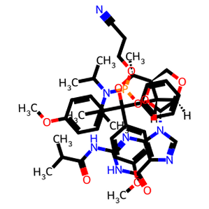 COc1ccc(C(O[C@H](C)[C@@]23CO[C@@H]([C@H](n4cnc5c(=O)[nH]c(NC(=O)C(C)C)nc54)O2)[C@@H]3OP(OCCC#N)N(C(C)C)C(C)C)(c2ccccc2)c2ccc(OC)cc2)cc1